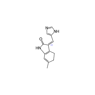 CC1=CC2=C(CC1)/C(=C/c1cnc[nH]1)C(=O)N2